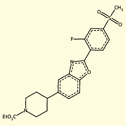 CCOC(=O)N1CCC(c2ccc3oc(-c4ccc(S(C)(=O)=O)cc4F)nc3c2)CC1